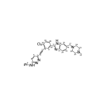 CC(C)Nc1ccc(C#Cc2cc(-c3nc4ccc(CN5CCN(C)CC5)cc4[nH]3)ccc2Cl)nn1